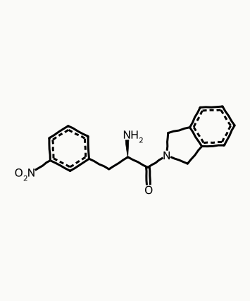 N[C@H](Cc1cccc([N+](=O)[O-])c1)C(=O)N1Cc2ccccc2C1